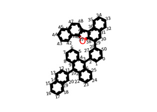 c1cc(-c2c3ccccc3c(-c3ccc4ccccc4c3)c3ccccc23)cc(-c2cc3ccccc3c3c2oc2c4ccccc4ccc23)c1